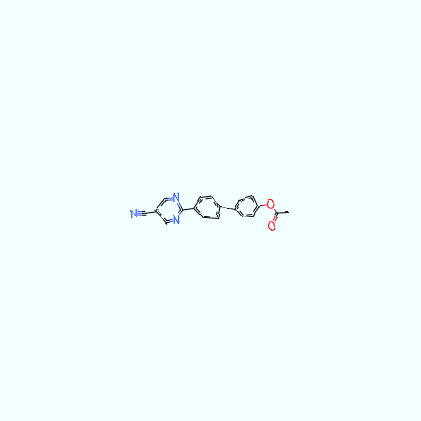 CC(=O)Oc1ccc(-c2ccc(-c3ncc(C#N)cn3)cc2)cc1